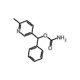 Cc1ccc(C(OC(N)=O)c2ccccc2)cn1